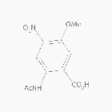 COc1cc(C(=O)O)c(NC(C)=O)cc1[N+](=O)[O-]